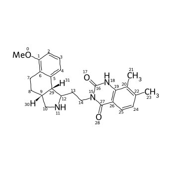 COc1cccc2c1CC[C@H]1CNC(CCn3c(=O)[nH]c4c(C)c(C)ccc4c3=O)[C@@H]21